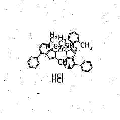 CC1=Cc2c(-c3ccccc3)ccc(C)c2[CH]1[Zr]([CH3])([CH3])(=[SiH2])[CH]1C(c2ccccc2C)=Cc2c(-c3ccccc3)cccc21.Cl.Cl